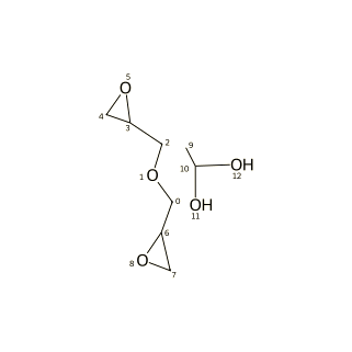 C(OCC1CO1)C1CO1.CC(O)O